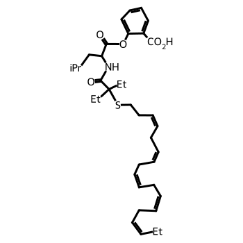 CC/C=C\C/C=C\C/C=C\C/C=C\C/C=C\CCSC(CC)(CC)C(=O)NC(CC(C)C)C(=O)Oc1ccccc1C(=O)O